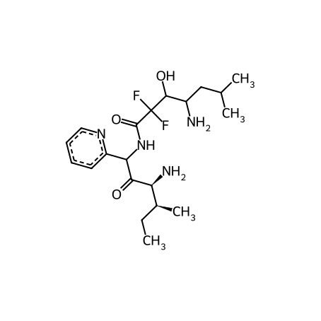 CC[C@H](C)[C@H](N)C(=O)C(NC(=O)C(F)(F)C(O)C(N)CC(C)C)c1ccccn1